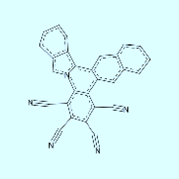 N#Cc1c(C#N)c(C#N)c2c(c1C#N)c1cc3ccccc3cc1c1c3ccccc3cn21